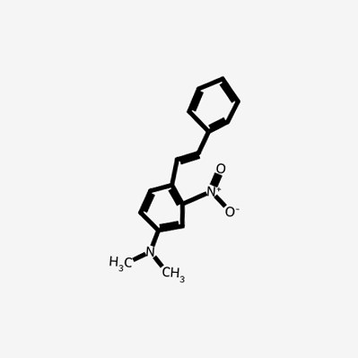 CN(C)c1ccc(C=Cc2ccccc2)c([N+](=O)[O-])c1